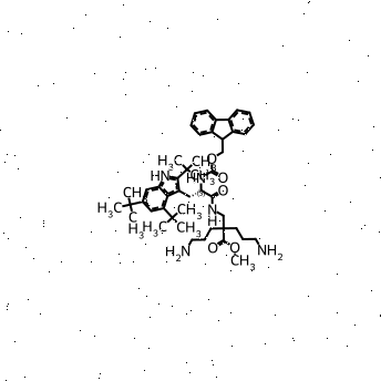 COC(=O)C(CCCN)(CCCN)CNC(=O)[C@H](Cc1c(C(C)(C)C)[nH]c2cc(C(C)(C)C)cc(C(C)(C)C)c12)NC(=O)OCC1c2ccccc2-c2ccccc21